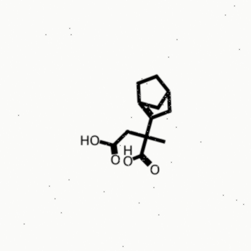 CC(CC(=O)O)(C(=O)O)C1=C2CCC(C2)C1